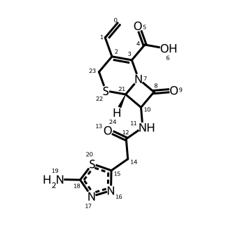 C=CC1=C(C(=O)O)N2C(=O)C(NC(=O)Cc3nnc(N)s3)[C@@H]2SC1